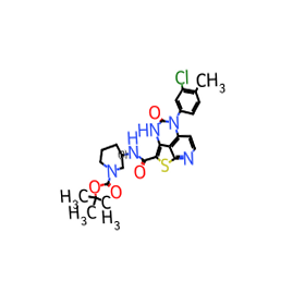 Cc1ccc(N2C(=O)Nc3c(C(=O)N[C@@H]4CCCN(C(=O)OC(C)(C)C)C4)sc4nccc2c34)cc1Cl